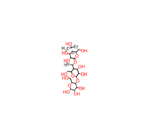 CCCC(O[C@H]1OC(CO)[C@@H](C(C)(O)CC)C(O)C1O)C1C(CO)OC(OC2C(CO)OC(O)C(O)C2O)C(O)C1O